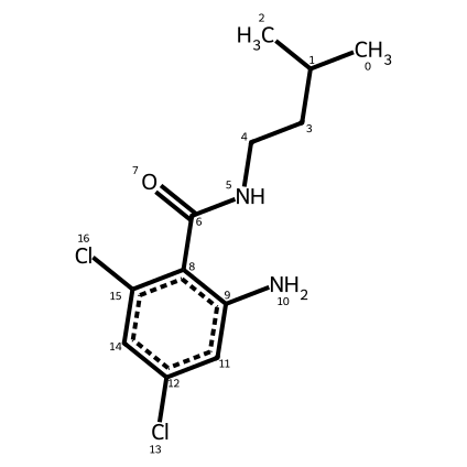 CC(C)CCNC(=O)c1c(N)cc(Cl)cc1Cl